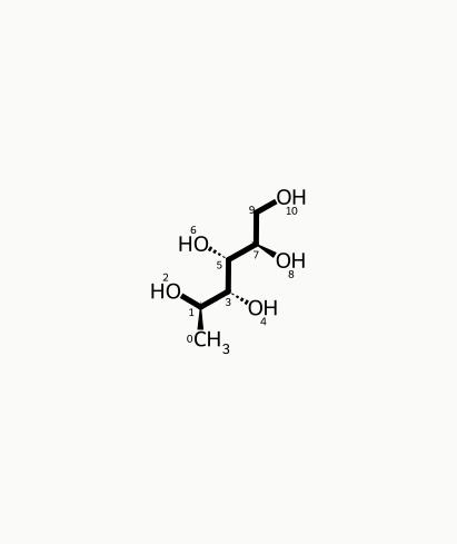 C[C@@H](O)[C@@H](O)[C@H](O)[C@H](O)CO